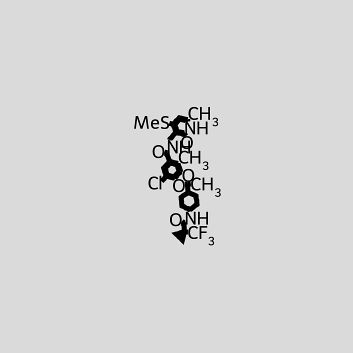 CSc1cc(C)[nH]c(=O)c1CNC(=O)c1cc(Cl)c2c(c1C)OC(C)(C1CCC(NC(=O)C3(C(F)(F)F)CC3)CC1)O2